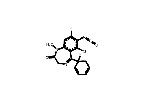 CN1C(=O)CN=C(C2(F)C=CC=CC2)c2c1cc(Cl)c(N=C=O)c2Cl